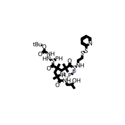 CCC(C)(CC(C)(CC(C)(C)C(=O)/S(NCCSSc1ccccn1)=P\P)C(=O)S(=P)NNC(=O)OC(C)(C)C)C(=O)NCC(C)O